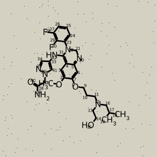 COc1cc2c(cc1OCCCN(CCO)CC(C)C)=NCN(c1cccc(F)c1F)C=2Nc1cnn(CC(N)=O)c1